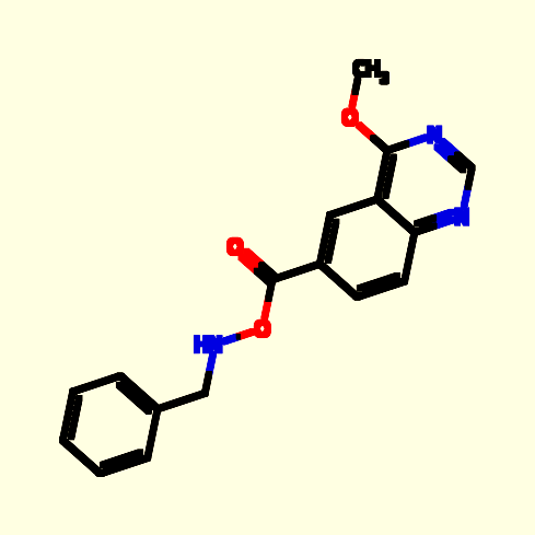 COc1ncnc2ccc(C(=O)ONCc3ccccc3)cc12